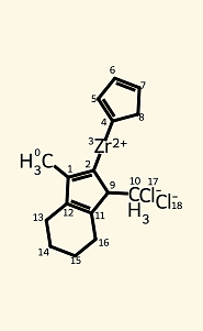 CC1=[C]([Zr+2][C]2=CC=CC2)C(C)C2=C1CCCC2.[Cl-].[Cl-]